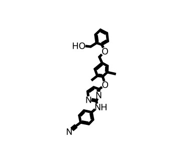 Cc1cc(COc2ccccc2CO)cc(C)c1Oc1ccnc(Nc2ccc(C#N)cc2)n1